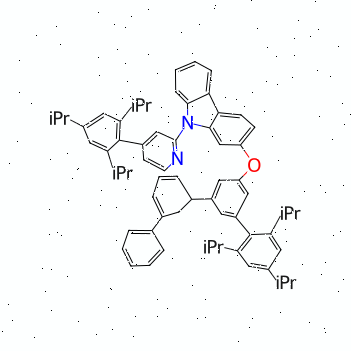 CC(C)c1cc(C(C)C)c(-c2cc(Oc3ccc4c5ccccc5n(-c5cc(-c6c(C(C)C)cc(C(C)C)cc6C(C)C)ccn5)c4c3)cc(C3C=CC=C(c4ccccc4)C3)c2)c(C(C)C)c1